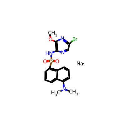 COc1nc(Br)cnc1NS(=O)(=O)c1cccc2c(N(C)C)cccc12.[Na]